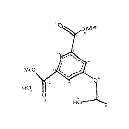 COC(=O)c1cc(OC(C)O)cc(C(=O)OC)n1.Cl